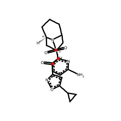 Nc1cccc(S(=O)(=O)N2C3CCC[C@@H]2C[C@@H](NC(=O)c2cc(C4CC4)on2)C3)n1